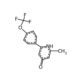 Cc1cc(=O)cc(-c2ccc(OC(F)(F)F)cc2)[nH]1